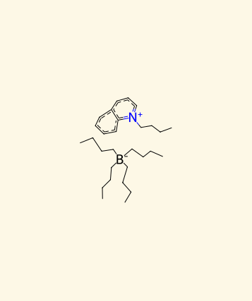 CCCC[B-](CCCC)(CCCC)CCCC.CCCC[n+]1cccc2ccccc21